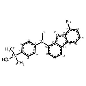 C[Si](C)(C)c1ccc(N(I)c2cccc3c2oc2c(F)cccc23)cc1